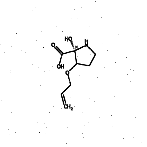 C=CCOC1CCN[C@]1(O)C(=O)O